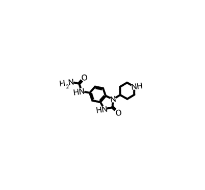 NC(=O)Nc1ccc2c(c1)[nH]c(=O)n2C1CCNCC1